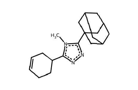 Cn1c(C2CC=CCC2)nnc1C12CC3CC(CC(C3)C1)C2